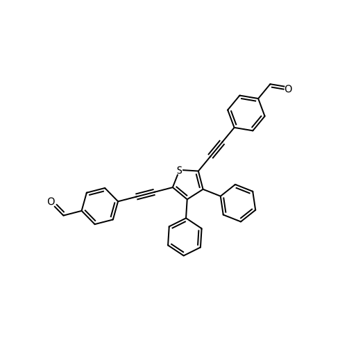 O=Cc1ccc(C#Cc2sc(C#Cc3ccc(C=O)cc3)c(-c3ccccc3)c2-c2ccccc2)cc1